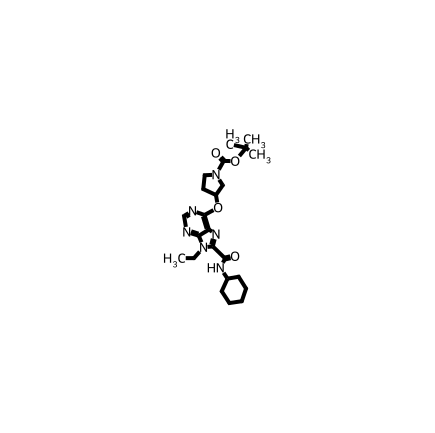 CCn1c(C(=O)NC2CCCCC2)nc2c(OC3CCN(C(=O)OC(C)(C)C)C3)ncnc21